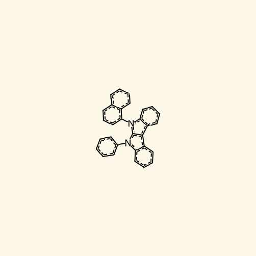 c1ccc(-n2c3ccccc3c3c4ccccc4n(-c4cccc5ccccc45)c32)cc1